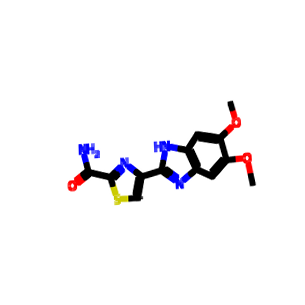 COc1cc2nc(-c3[c]sc(C(N)=O)n3)[nH]c2cc1OC